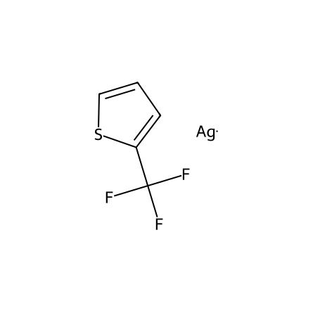 FC(F)(F)c1cccs1.[Ag]